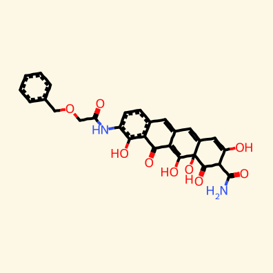 NC(=O)C1C(=O)C2(O)C(=CC3=Cc4ccc(NC(=O)COCc5ccccc5)c(O)c4C(=O)C3=C2O)C=C1O